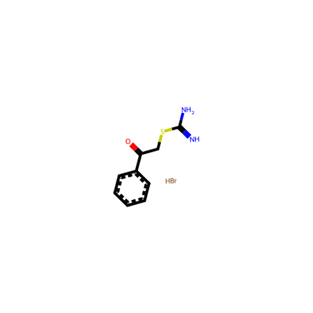 Br.N=C(N)SCC(=O)c1ccccc1